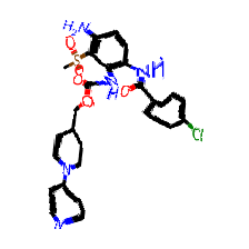 CS(=O)(=O)c1c(N)ccc(NC(=O)c2ccc(Cl)cc2)c1NC(=O)OCC1CCN(c2ccncc2)CC1